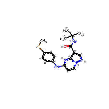 CSc1ccc(Nc2ccn3ncc(C(=O)NC(C)(C)C)c3n2)cc1